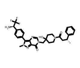 C[C@H](CC(=O)N1CCC(O)(Cn2cnc3c(-c4ccc([C@@H](N)C(F)(F)F)cc4)n(C)nc3c2=O)CC1)c1ccccc1